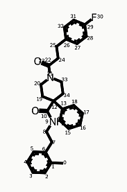 Cc1ccccc1CCNC(=O)C1(c2ccccc2)CCN(C(=O)CCc2ccc(F)cc2)CC1